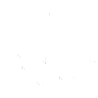 CC(C)(C)c1cc(NC(=N)N2CCCN2c2ccc(C(F)(F)F)cc2)no1